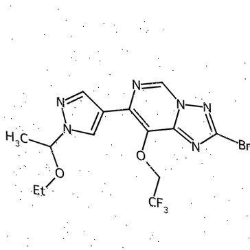 CCOC(C)n1cc(-c2ncn3nc(Br)nc3c2OCC(F)(F)F)cn1